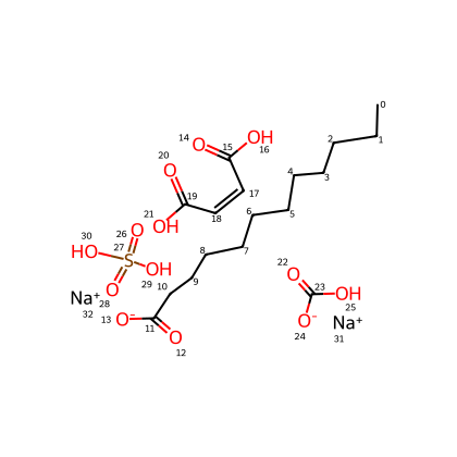 CCCCCCCCCCCC(=O)[O-].O=C(O)/C=C\C(=O)O.O=C([O-])O.O=S(=O)(O)O.[Na+].[Na+]